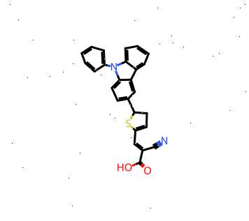 N#C/C(=C\C1=CCC(c2ccc3c(c2)c2ccccc2n3-c2ccccc2)S1)C(=O)O